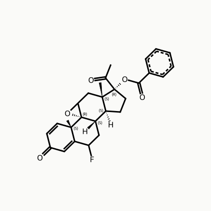 CC(=O)[C@@]1(OC(=O)c2ccccc2)CC[C@H]2[C@@H]3CC(F)C4=CC(=O)C=C[C@]4(C)[C@]34OC4C[C@@]21C